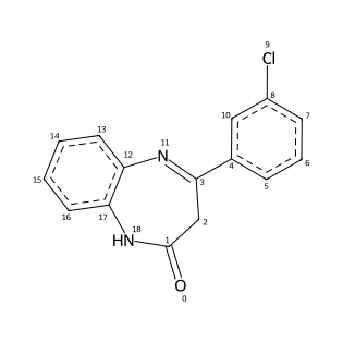 O=C1CC(c2cccc(Cl)c2)=Nc2ccccc2N1